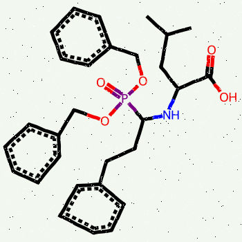 CC(C)CC(NC(CCc1ccccc1)P(=O)(OCc1ccccc1)OCc1ccccc1)C(=O)O